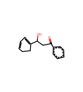 O=C(CC(O)C1=CC=CCC1)c1ccccc1